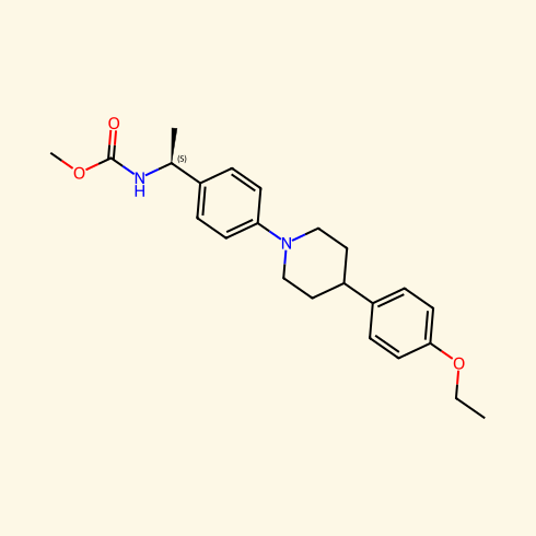 CCOc1ccc(C2CCN(c3ccc([C@H](C)NC(=O)OC)cc3)CC2)cc1